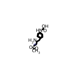 CS(=O)(=O)/C=C/C(N)Cc1ccc(NC(=O)O)cc1